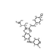 Cc1cc(Nc2ccc(CN(C(=O)/C=C/c3ccc(Cl)cc3)C(C)CN(C)C)cc2)ccn1